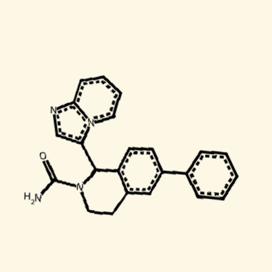 NC(=O)N1CCc2cc(-c3ccccc3)ccc2C1c1cnc2ccccn12